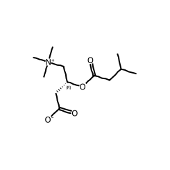 CC(C)CC(=O)O[C@H](CC(=O)[O-])C[N+](C)(C)C